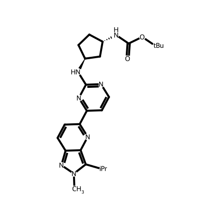 CC(C)c1c2nc(-c3ccnc(N[C@H]4CC[C@H](NC(=O)OC(C)(C)C)C4)n3)ccc2nn1C